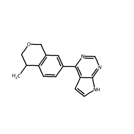 CC1COCc2cc(-c3ncnc4[nH]ccc34)ccc21